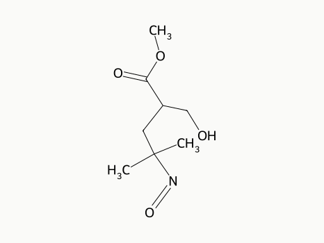 COC(=O)C(CO)CC(C)(C)N=O